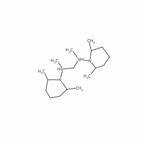 CC1CCCC(C)N1[SiH](C)C[SiH](C)N1C(C)CCCC1C